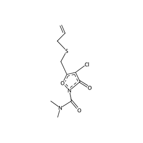 C=CCSCc1on(C(=O)N(C)C)c(=O)c1Cl